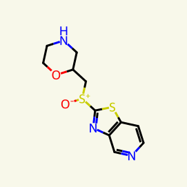 [O-][S+](CC1CNCCO1)c1nc2cnccc2s1